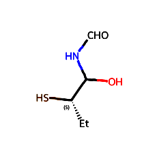 CC[C@H](S)C(O)NC=O